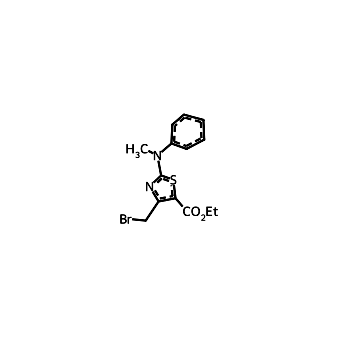 CCOC(=O)c1sc(N(C)c2ccccc2)nc1CBr